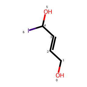 OCC=CC(O)I